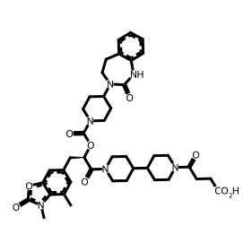 Cc1cc(C[C@@H](OC(=O)N2CCC(N3CCc4ccccc4NC3=O)CC2)C(=O)N2CCC(C3CCN(C(=O)CCC(=O)O)CC3)CC2)cc2oc(=O)n(C)c12